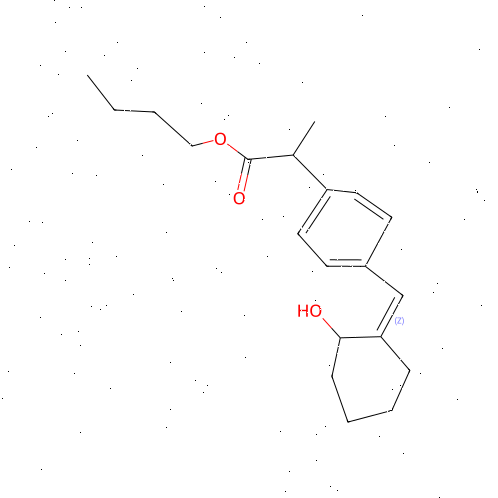 CCCCOC(=O)C(C)c1ccc(/C=C2/CCCCC2O)cc1